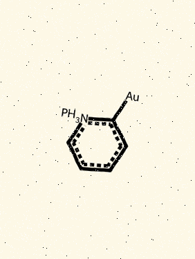 P.[Au][c]1ccccn1